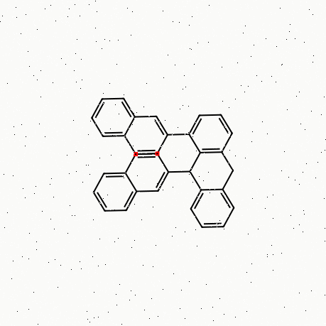 c1ccc2c(c1)Cc1cccc(-c3ccc4ccccc4c3)c1C2c1ccc2ccccc2c1